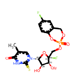 Cc1cn([C@@H]2O[C@](F)(COP3(=O)OCc4cc(F)ccc4O3)[C@@H](O)[C@H]2O)c(=S)[nH]c1=O